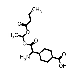 CCCC(=O)OC(C)OC(=O)C(N)C1CCC(C(=O)O)CC1